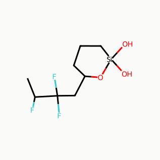 CC(F)C(F)(F)CC1CCC[Si](O)(O)O1